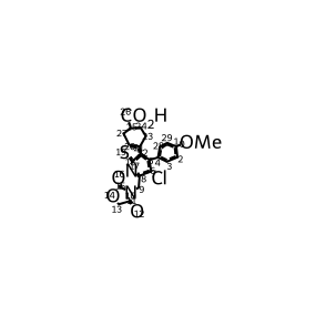 COc1ccc(-c2c(Cl)c(CN3C(=O)COC3=O)nc3sc4c(c23)CCC(C(=O)O)C4)cc1